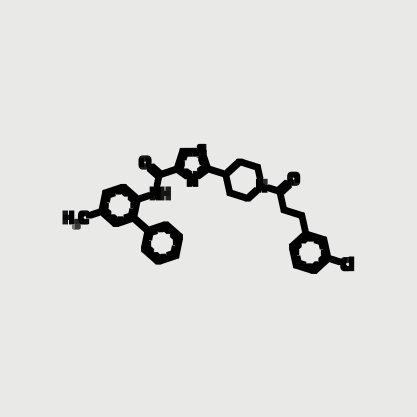 Cc1ccc(NC(=O)c2csc(C3CCN(C(=O)CCc4cccc(Cl)c4)CC3)n2)c(-c2ccccc2)c1